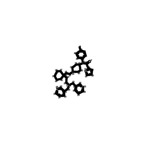 Cc1ccc(N(C(=O)c2ccco2)C2CCN(CCC3(CCN(Cc4cccnc4)Cc4cccnc4)CCCCC3)CC2)cc1